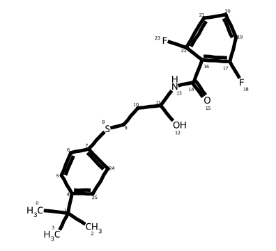 CC(C)(C)c1ccc(SCCC(O)NC(=O)c2c(F)cccc2F)cc1